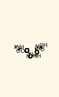 CC(C)NC(=O)COc1cccc(-c2nccc(Nc3ccc4c(cnn4C(=O)O)c3)n2)c1